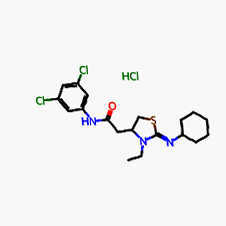 CCN1C(=NC2CCCCC2)SCC1CC(=O)Nc1cc(Cl)cc(Cl)c1.Cl